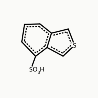 O=S(=O)(O)c1cccc2cscc12